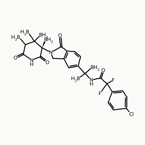 BC1C(=O)NC(=O)[C@@](B)(N2Cc3cc(C(B)(B)NC(=O)C(F)(F)c4ccc(Cl)cc4)ccc3C2=O)C1(B)B